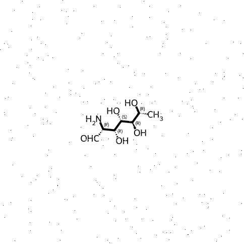 C[C@@H](O)[C@@H](O)[C@@H](O)[C@H](O)[C@@H](N)C=O